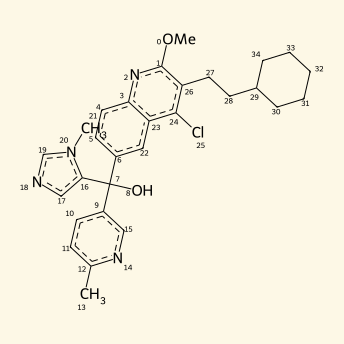 COc1nc2ccc(C(O)(c3ccc(C)nc3)c3cncn3C)cc2c(Cl)c1CCC1CCCCC1